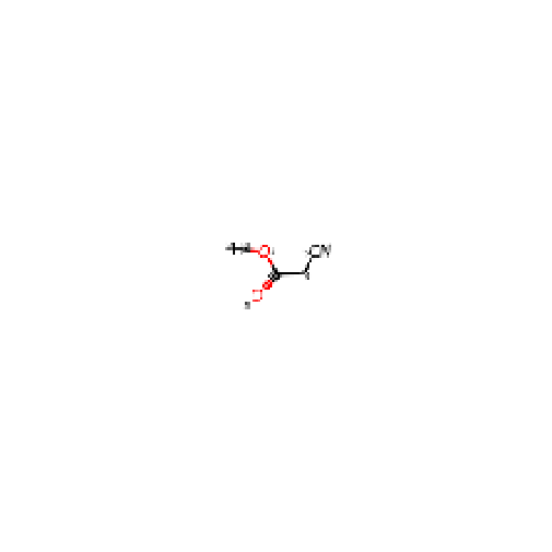 [2H]OC(=O)CC#N